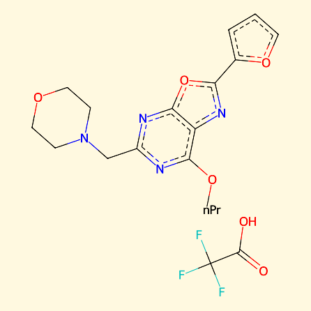 CCCOc1nc(CN2CCOCC2)nc2oc(-c3ccco3)nc12.O=C(O)C(F)(F)F